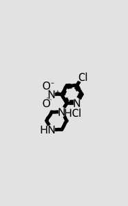 Cl.O=[N+]([O-])c1cc(Cl)cnc1N1CCNCC1